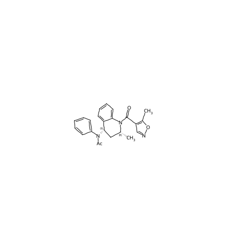 CC(=O)N(c1ccccc1)[C@H]1C[C@@H](C)N(C(=O)c2cnoc2C)c2ccccc21